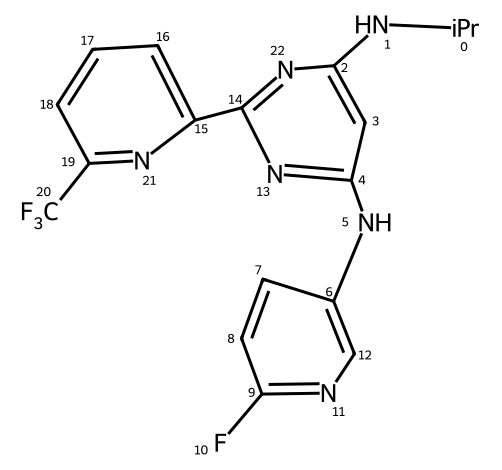 CC(C)Nc1cc(Nc2ccc(F)nc2)nc(-c2cccc(C(F)(F)F)n2)n1